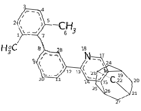 Cc1cccc(C)c1-c1cccc(-c2cc3c(cn2)C2CC4CC(C2)CC3C4)c1